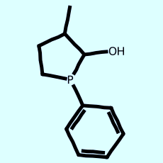 CC1CCP(c2ccccc2)C1O